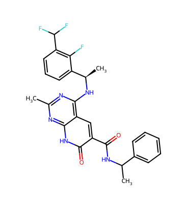 Cc1nc(N[C@H](C)c2cccc(C(F)F)c2F)c2cc(C(=O)NC(C)c3ccccc3)c(=O)[nH]c2n1